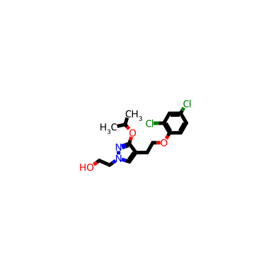 CC(C)Oc1nn(CCO)cc1CCOc1ccc(Cl)cc1Cl